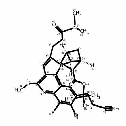 CSc1nc2c(F)c(Br)c(CCC#N)cc2c2c1cc(CCC(=O)N(C)C)n2[C@H]1[C@@H]2C[C@H]1N(C(=O)OC(C)(C)C)C2